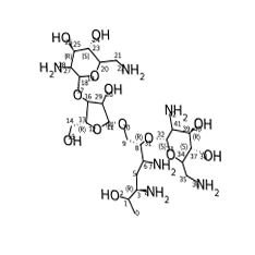 CC(O)[C@H](N)CC(N)[C@H](CO[C@@H]1O[C@H](CO)C(OC2OC(CN)[C@@H](O)[C@H](O)C2N)C1O)O[C@H]1OC(CN)[C@@H](O)[C@H](O)C1N